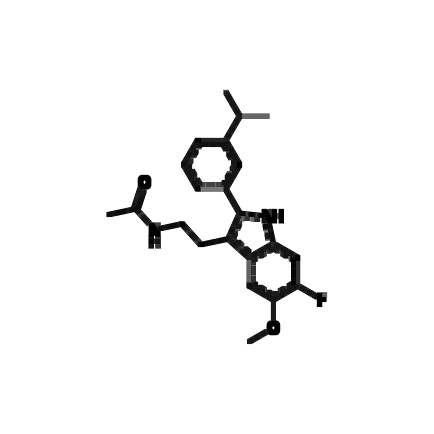 COc1cc2c(CCNC(C)=O)c(-c3cccc(C(C)C)c3)[nH]c2cc1F